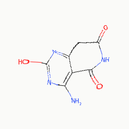 Nc1nc(O)nc2c1C(=O)NC(=O)C2